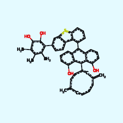 Bc1c(B)c(O)c(O)c(-c2ccc3c(c2)sc2cccc(-c4c5cccc(O)c5c(-c5ccc(=C)ccccc(=C)c5)c5c(O)cccc45)c23)c1B